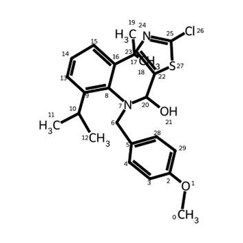 COc1ccc(CN(c2c(C(C)C)cccc2C(C)C)C(O)c2cnc(Cl)s2)cc1